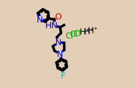 CC(CCN1CCN(c2ccc(F)cc2)CC1)NC(=O)c1cccnc1.[Cl-].[Cl-].[Cl-].[H+].[H+].[H+]